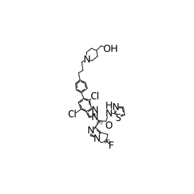 O=C(Nc1nccs1)[C@@H](c1ncn2c1C[C@@H](F)C2)n1cc2c(Cl)cc(-c3ccc(CCCN4CCC(CO)CC4)cc3)c(Cl)c2n1